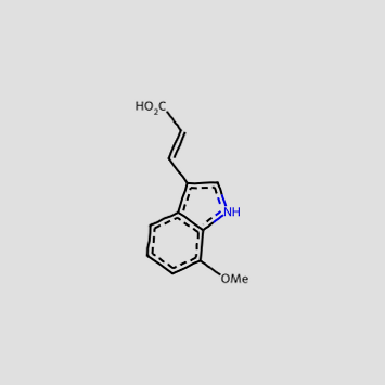 COc1cccc2c(/C=C/C(=O)O)c[nH]c12